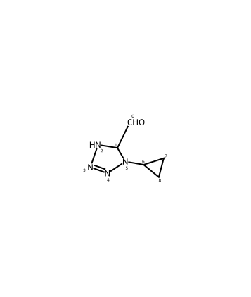 O=CC1NN=NN1C1CC1